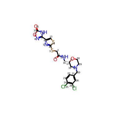 O=C(CSc1nc(-c2noc(=O)[nH]2)cs1)NC[C@H]1CN(Cc2ccc(Cl)c(Cl)c2)CCO1